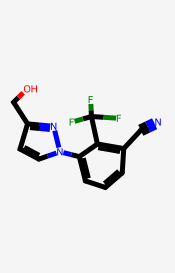 N#Cc1cccc(-n2ccc(CO)n2)c1C(F)(F)F